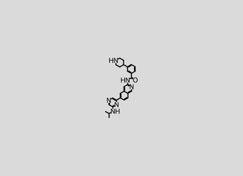 CC(C)Nc1cncc(-c2ccc3cnc(NC(=O)c4cccc(C5CCNCC5)c4)cc3c2)n1